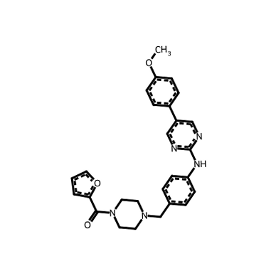 COc1ccc(-c2cnc(Nc3ccc(CN4CCN(C(=O)c5ccco5)CC4)cc3)nc2)cc1